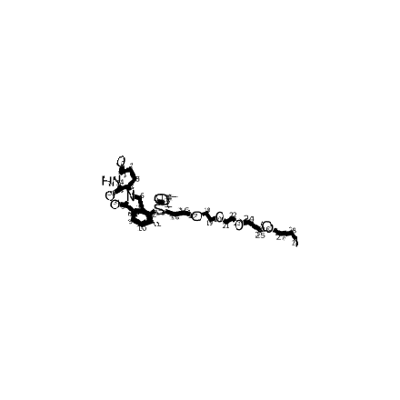 O=C1CCC(N2Cc3c(cccc3[S+]([O-])CCOCCOCCOCCOCCI)C2=O)C(=O)N1